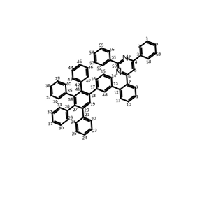 c1ccc(-c2cc(-c3ccccc3-c3cccc(-c4cc(-c5ccccc5)c(-c5ccccc5)c(-c5ccccc5)c4-c4ccccc4)c3)nc(-c3ccccc3)n2)cc1